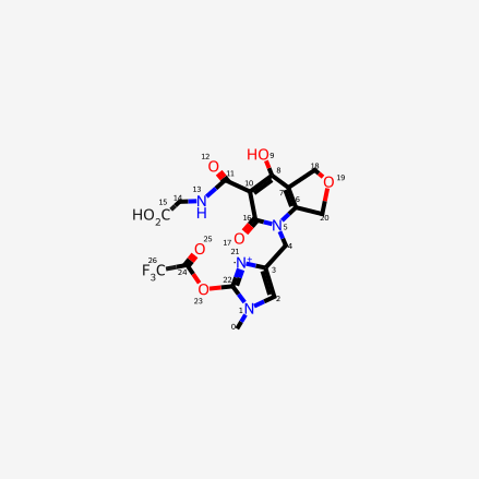 CN1C=C(Cn2c3c(c(O)c(C(=O)NCC(=O)O)c2=O)COC3)[N+]=C1OC(=O)C(F)(F)F